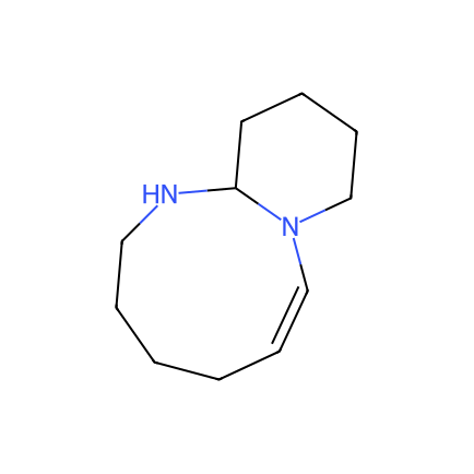 C1=CN2CCCCC2NCCCC1